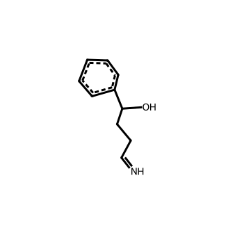 N=CCCC(O)c1ccccc1